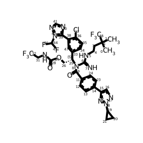 CC(C)(CCNC(=N)N(C(=O)c1ccc(-c2cnn(C3CC3)n2)cc1)[C@H](COC(=O)NCC(F)(F)F)c1ccc(Cl)c(-c2ncnn2C(F)F)c1)C(F)(F)F